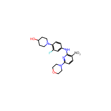 O=[N+]([O-])c1ccc(N2CCOCC2)nc1Nc1ccc(N2CCC(O)CC2)c(F)c1